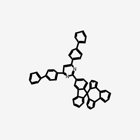 c1ccc(-c2ccc(-c3cc(-c4ccc(-c5ccccc5)cc4)nc(-c4ccc5c(c4)-c4ccccc4C54c5ccccc5-c5ccccc5-c5ccccc54)n3)cc2)cc1